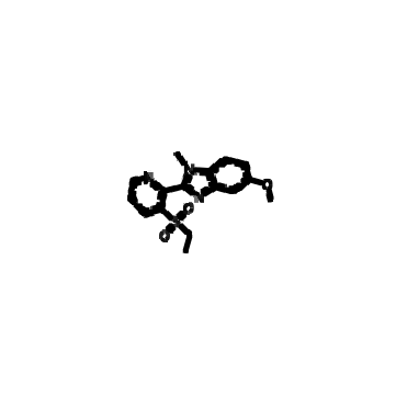 CCS(=O)(=O)c1cccnc1-c1nc2cc(OC)ccc2n1C